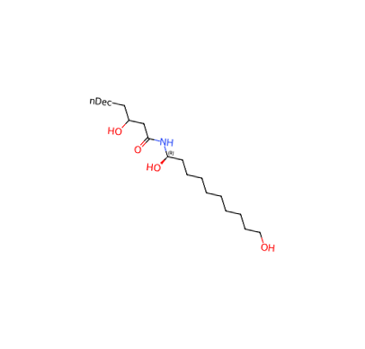 CCCCCCCCCCCC(O)CC(=O)N[C@H](O)CCCCCCCCCO